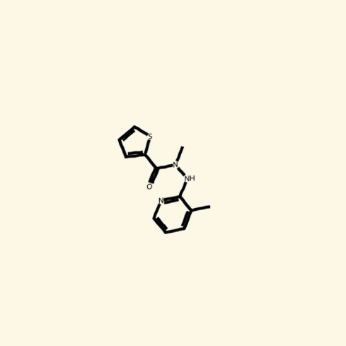 Cc1cccnc1NN(C)C(=O)c1cccs1